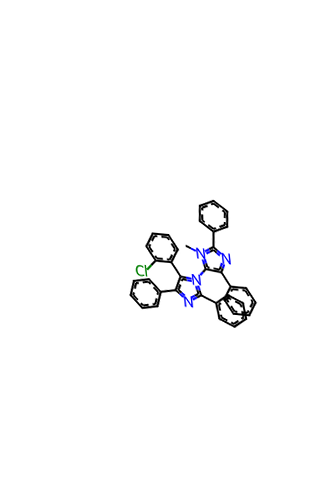 Cn1c(-c2ccccc2)nc(-c2ccccc2)c1-n1c(-c2ccccc2)nc(-c2ccccc2)c1-c1ccccc1Cl